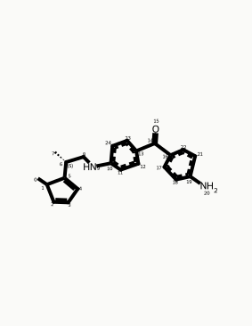 CC1C=CC=C1[C@H](C)CNc1ccc(C(=O)c2ccc(N)cc2)cc1